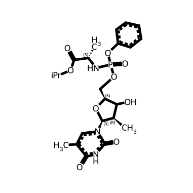 Cc1cn([C@H]2O[C@@H](COP(=O)(N[C@@H](C)C(=O)OC(C)C)Oc3ccccc3)C(O)[C@H]2C)c(=O)[nH]c1=O